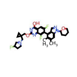 Cc1cc2c(cnn2C2CCCCO2)c(-c2c(F)cc3c(O)nc(OCC4(CN5CCC(F)C5)CC4)nc3c2F)c1C